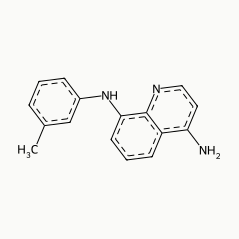 Cc1cccc(Nc2cccc3c(N)ccnc23)c1